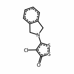 O=c1ssc(N2Cc3ccccc3C2)c1Cl